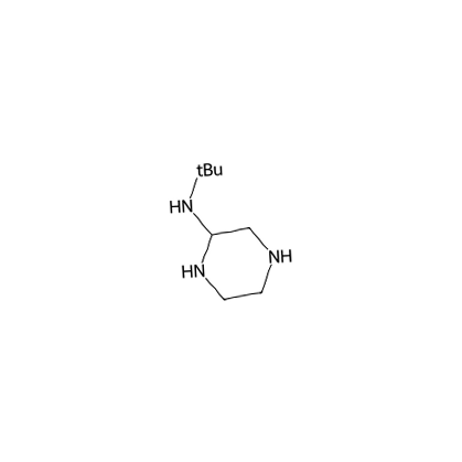 CC(C)(C)NC1CNCCN1